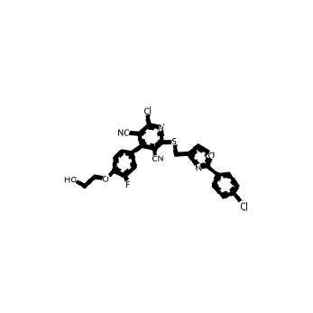 N#Cc1c(Cl)nc(SCc2coc(-c3ccc(Cl)cc3)n2)c(C#N)c1-c1ccc(OCCO)c(F)c1